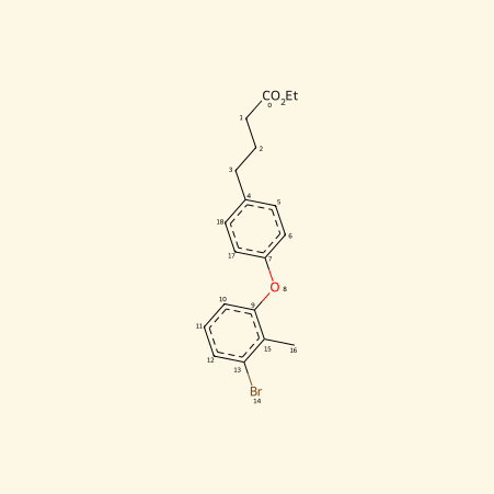 CCOC(=O)CCCc1ccc(Oc2cccc(Br)c2C)cc1